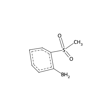 Bc1ccccc1S(C)(=O)=O